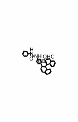 O=Cc1cc2ccccc2c(-c2c(-c3ccc(NC(=O)Nc4ccccc4)cc3)ccc3ccccc23)c1O